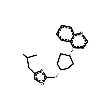 CC(C)Cc1coc(C[C@H]2CC[C@@H](c3ccnc4ccccc43)CC2)n1